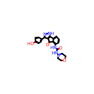 O=C(Nc1cccc2c1C(=O)c1c(-c3ccc(O)cc3)n[nH]c1-2)NN1CCOCC1